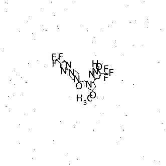 COC1CC(c2cc(C(F)(F)F)c(=O)[nH]n2)N(CC(=O)N2CCN(c3ncc(C(F)(F)F)cn3)CC2)C1